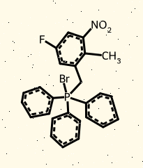 Cc1c(CP(Br)(c2ccccc2)(c2ccccc2)c2ccccc2)cc(F)cc1[N+](=O)[O-]